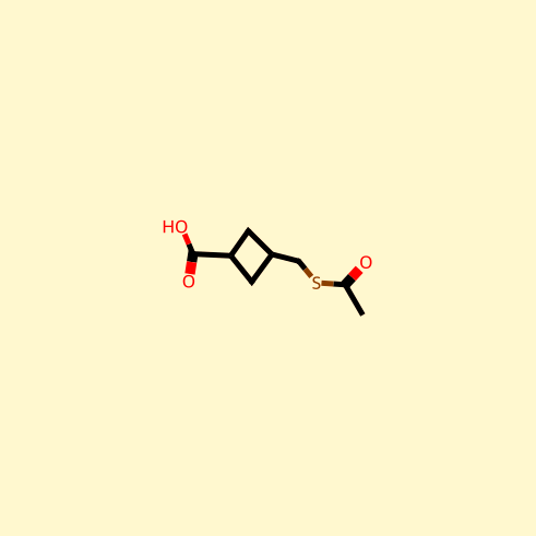 CC(=O)SCC1CC(C(=O)O)C1